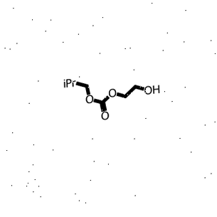 CC(C)COC(=O)OCCO